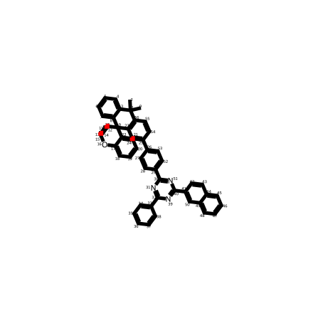 CC1(C)c2ccccc2C2(c3ccccc3Oc3ccccc32)c2cc(-c3ccc(-c4nc(-c5ccccc5)nc(-c5ccc6ccccc6c5)n4)cc3)ccc21